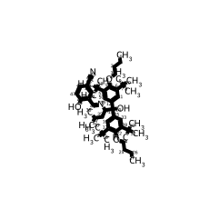 CCCCOc1c(C(C)(C)C)cc(C(O)(c2cc(C(C)(C)C)c(OCCCC)c(C(C)(C)C)c2)C(CC(C)C)N=Cc2cc(C#N)ccc2O)cc1C(C)(C)C